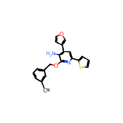 N#Cc1cccc(COc2nc(-c3cccs3)cc(-c3ccoc3)c2N)c1